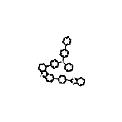 c1ccc(-c2ccc(N(c3ccccc3)c3ccc(-c4cccc5oc6ccc(-c7ccc(-c8nc9ccccc9o8)cc7)cc6c45)cc3)cc2)cc1